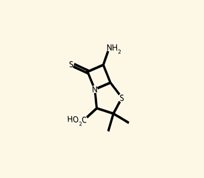 CC1(C)SC2C(N)C(=S)N2C1C(=O)O